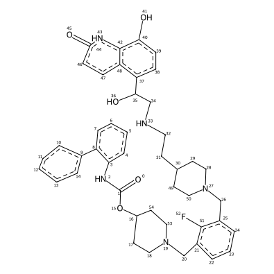 O=C(Nc1ccccc1-c1ccccc1)OC1CCN(Cc2cccc(CN3CCC(CCNCC(O)c4ccc(O)c5[nH]c(=O)ccc45)CC3)c2F)CC1